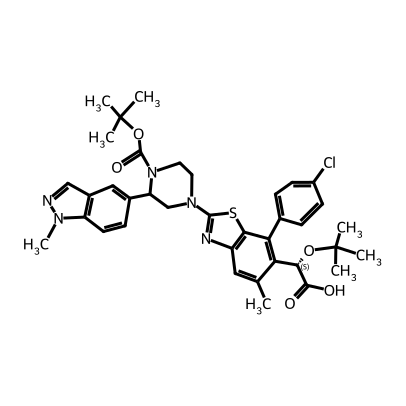 Cc1cc2nc(N3CCN(C(=O)OC(C)(C)C)C(c4ccc5c(cnn5C)c4)C3)sc2c(-c2ccc(Cl)cc2)c1[C@H](OC(C)(C)C)C(=O)O